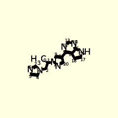 CC(Cn1ccnc1)n1cc(-c2ncnc3[nH]ccc23)cn1